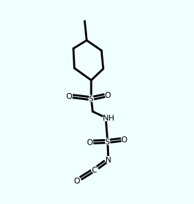 CC1CCC(S(=O)(=O)CNS(=O)(=O)N=C=O)CC1